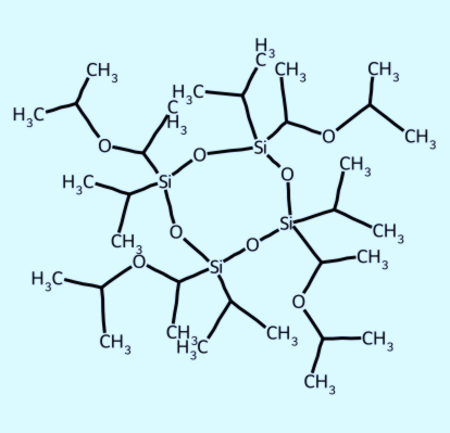 CC(C)OC(C)[Si]1(C(C)C)O[Si](C(C)C)(C(C)OC(C)C)O[Si](C(C)C)(C(C)OC(C)C)O[Si](C(C)C)(C(C)OC(C)C)O1